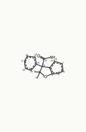 CC1(C)Oc2ccccc2C1(C(N)=O)c1ccccc1